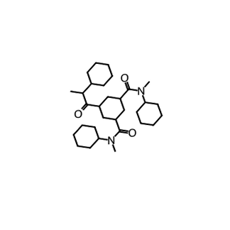 CC(C(=O)C1CC(C(=O)N(C)C2CCCCC2)CC(C(=O)N(C)C2CCCCC2)C1)C1CCCCC1